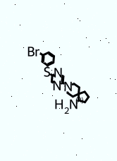 N[C@@H]1CCCC12CCN(c1cnc(Sc3cccc(Br)c3)cn1)CC2